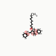 CCCCCCCCCO[C@@H]1[C@H]2OC3(CCCCC3)O[C@H]2O[C@@H]1[C@H]1COC2(CCCCC2)O1